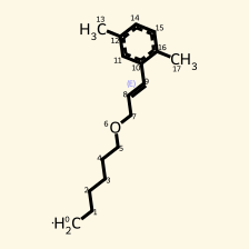 [CH2]CCCCCOC/C=C/c1cc(C)ccc1C